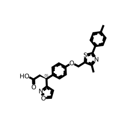 Cc1ccc(-c2nc(C)c(COc3ccc([C@H](CC(=O)O)c4ccon4)cc3)s2)cc1